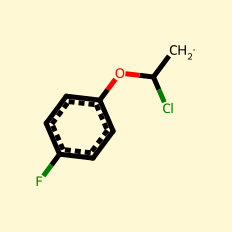 [CH2]C(Cl)Oc1ccc(F)cc1